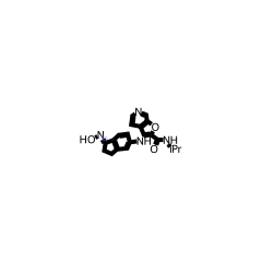 CC(C)NC(=O)c1oc2cnccc2c1Nc1ccc2c(c1)CC/C2=N\O